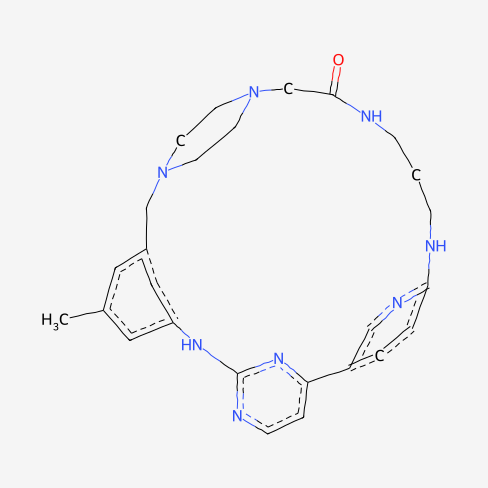 Cc1cc2cc(c1)Nc1nccc(n1)-c1ccc(nc1)NCCCNC(=O)CN1CCN(CC1)C2